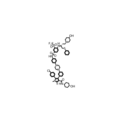 Cc1c(C(=O)N[C@H]2CC[C@@H](O)CC2)c(-c2cccc(N3CCN(c4ccc(NS(=O)(=O)c5ccc(N[C@H](CCN6CCC(O)CC6)CSc6ccccc6)c(S(=O)(=O)C(F)(F)F)c5)cc4)CC3)c2)c(-c2ccc(Cl)cc2)n1C